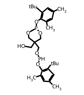 Cc1cc(C)c(OPOCC2(CO)COP(Oc3c(C)cc(C)cc3C(C)(C)C)OC2)c(C(C)(C)C)c1